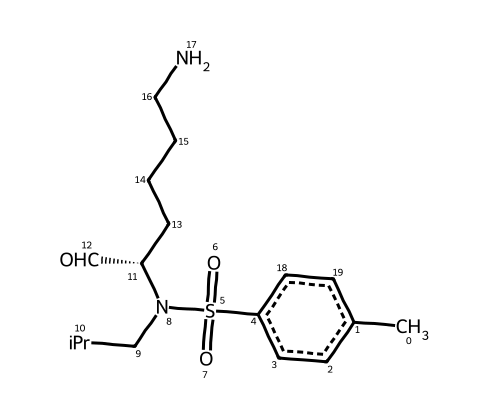 Cc1ccc(S(=O)(=O)N(CC(C)C)[C@H](C=O)CCCCN)cc1